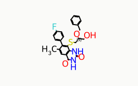 Cc1cc2c(=O)[nH]c(=O)[nH]c2c(SC[C@H](CO)OCc2ccccc2)c1-c1ccc(F)cc1